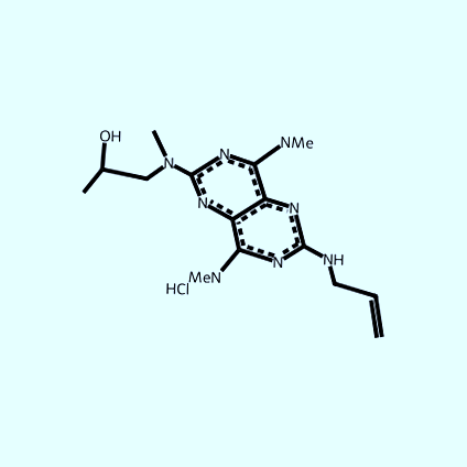 C=CCNc1nc(NC)c2nc(N(C)CC(C)O)nc(NC)c2n1.Cl